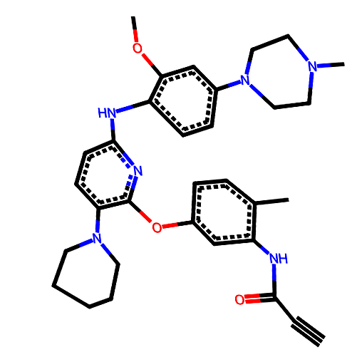 C#CC(=O)Nc1cc(Oc2nc(Nc3ccc(N4CCN(C)CC4)cc3OC)ccc2N2CCCCC2)ccc1C